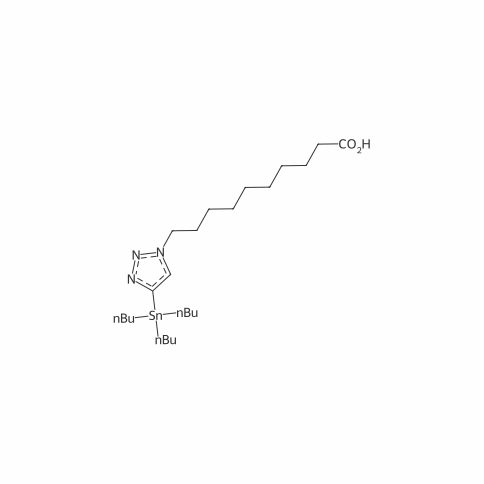 CCC[CH2][Sn]([CH2]CCC)([CH2]CCC)[c]1cn(CCCCCCCCCC(=O)O)nn1